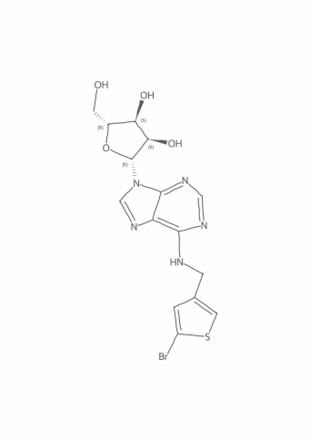 OC[C@H]1O[C@@H](n2cnc3c(NCc4csc(Br)c4)ncnc32)[C@H](O)[C@@H]1O